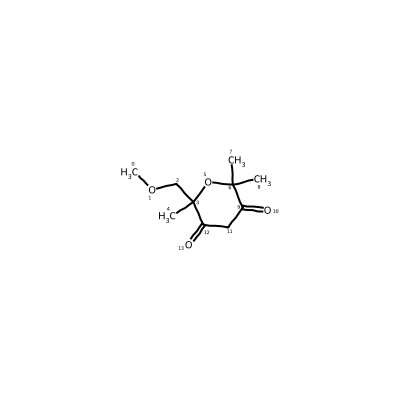 COCC1(C)OC(C)(C)C(=O)CC1=O